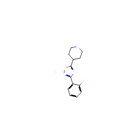 Cl.Fc1ccccc1-c1noc(C2CCNCC2)n1